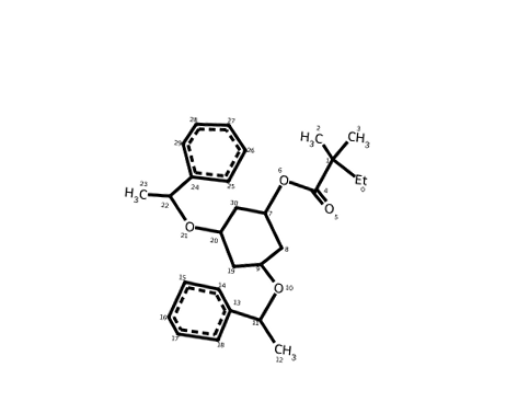 CCC(C)(C)C(=O)OC1CC(OC(C)c2ccccc2)CC(OC(C)c2ccccc2)C1